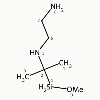 CO[SiH2]C(C)(C)NCCN